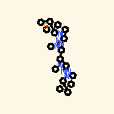 c1ccc(-n2c3ccc(-c4ccc5c(c4)n(-c4ccccc4)c4nc6c7c(ccc6n54)c4ccccc4n7-c4cccc([Si](c5ccccc5)(c5ccccc5)c5cccc6c5sc5ccccc56)c4)cc3c3ccc4c(nc5n(-c6cccc([Si](c7ccccc7)(c7ccccc7)c7ccccc7)c6)c6ccccc6n45)c32)cc1